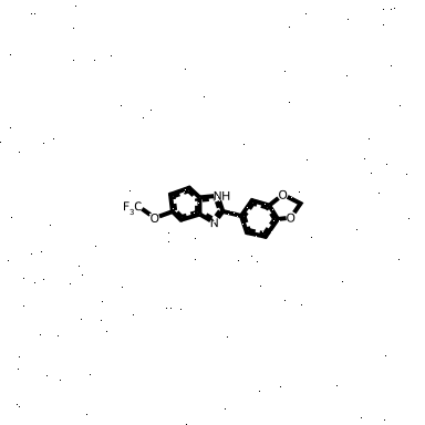 FC(F)(F)Oc1ccc2[nH]c(-c3ccc4c(c3)OCO4)nc2c1